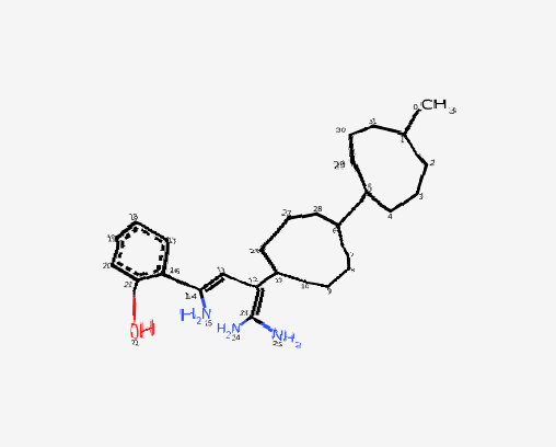 CC1CCCC(C2CCCCC(C(/C=C(\N)c3ccccc3O)=C(N)N)CCC2)CCC1